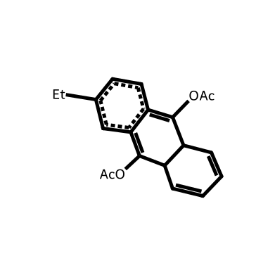 CCc1ccc2c(c1)=C(OC(C)=O)C1C=CC=CC1C=2OC(C)=O